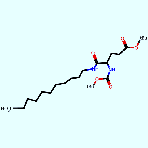 CC(C)(C)OC(=O)CCC(NC(=O)OC(C)(C)C)C(=O)NCCCCCCCCCCC(=O)O